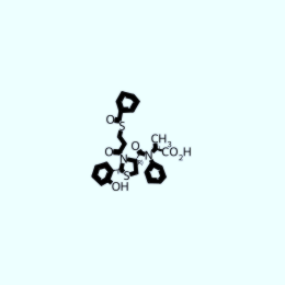 C[C@@H](C(=O)O)N(C(=O)[C@@H]1CS[C@H](c2ccccc2O)N1C(=O)CCSC(=O)c1ccccc1)c1ccccc1